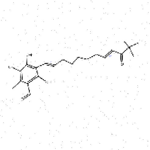 Cc1c(Cl)c(O)c(/C=C/CCCCC/C=C/C(=O)C(C)(C)C)c(O)c1C=O